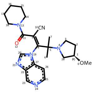 CO[C@@H]1CCN(C(C)(C)C(=C(C#N)C(=O)N2CCCCC2)n2cnc3cnccc32)C1